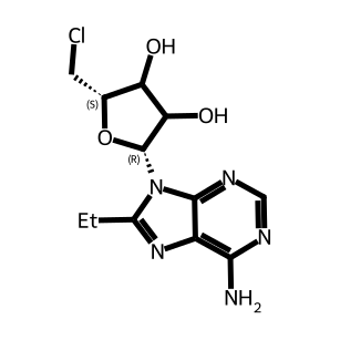 CCc1nc2c(N)ncnc2n1[C@@H]1O[C@H](CCl)C(O)C1O